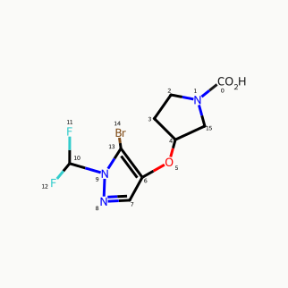 O=C(O)N1CCC(Oc2cnn(C(F)F)c2Br)C1